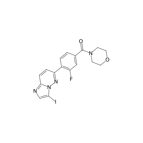 O=C(c1ccc(-c2ccc3ncc(I)n3n2)c(F)c1)N1CCOCC1